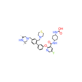 C[C@@H]1CN(Cc2ccc(-c3cccc(Oc4ncc(F)cc4C(=O)NC4CCC(NC(=O)O)CC4)c3)c(CN3CCSCC3)c2)C[C@H](C)N1